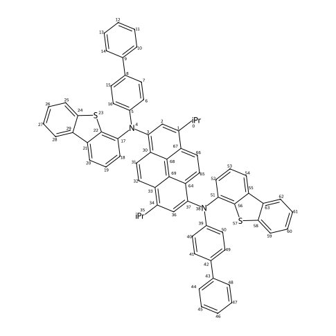 CC(C)c1cc(N(c2ccc(-c3ccccc3)cc2)c2cccc3c2sc2ccccc23)c2ccc3c(C(C)C)cc(N(c4ccc(-c5ccccc5)cc4)c4cccc5c4sc4ccccc45)c4ccc1c2c34